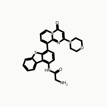 NCC(=O)Nc1ccc(-c2cccn3c(=O)cc(N4CCOCC4)nc23)c2sc3ccccc3c12